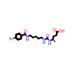 C[C@H](CCC(=O)O)NC(=O)NCCCCCNC(=O)c1ccc(Br)cc1